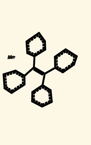 [Mn].c1ccc(C(=C(c2ccccc2)c2ccccc2)c2ccccc2)cc1